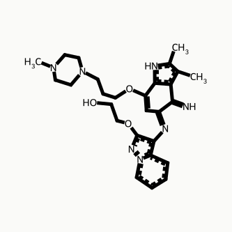 Cc1[nH]c2c(c1C)C(=N)C(=Nc1c(OCCO)nn3ccccc13)C=C2OCCCN1CCN(C)CC1